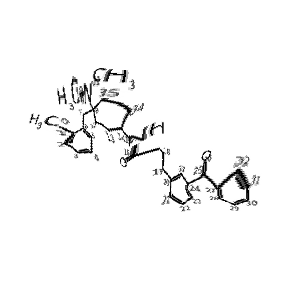 Cc1ccccc1CC1(N(C)C)CCC(NC(=O)CCc2cccc(C(=O)c3ccccc3)c2)CC1